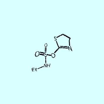 CCNS(=O)(=O)OC1=NCCS1